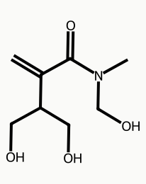 C=C(C(=O)N(C)CO)C(CO)CO